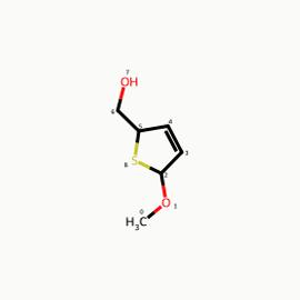 COC1C=CC(CO)S1